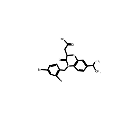 CC(C)c1ccc2c(c1)SC(CC(=O)O)C(=O)N2Cc1ccc(Br)cc1F